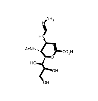 CC(=O)N[C@@H]1[C@@H](NC=NN)C=C(C(=O)O)O[C@H]1C(O)C(O)CO